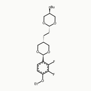 CCCC[C@H]1CO[C@H](CC[C@H]2CO[C@H](c3ccc(OCC)c(F)c3F)OC2)OC1